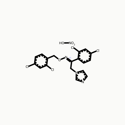 Clc1ccc(CO/N=C(\Cn2ccnc2)c2ccc(Cl)cc2Cl)c(Cl)c1.O=[N+]([O-])O